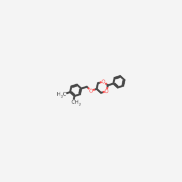 Cc1ccc(COC2COC(c3ccccc3)OC2)cc1C